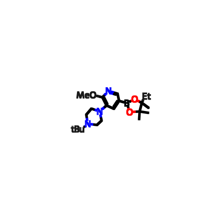 CCC1(C)OB(c2cnc(OC)c(N3CCN(C(C)(C)C)CC3)c2)OC1(C)C